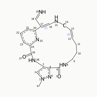 Cn1cc2c(n1)C(=O)NCCC/C=C/CN/C=C(\C=N)c1cccc(n1)C(=O)N2